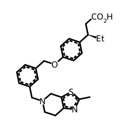 CC[C@H](CC(=O)O)c1ccc(OCc2cccc(CN3CCc4nc(C)sc4C3)c2)cc1